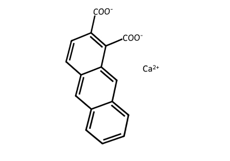 O=C([O-])c1ccc2cc3ccccc3cc2c1C(=O)[O-].[Ca+2]